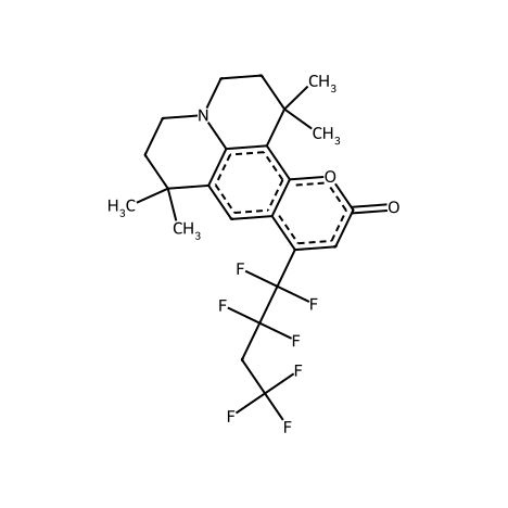 CC1(C)CCN2CCC(C)(C)c3c2c1cc1c(C(F)(F)C(F)(F)CC(F)(F)F)cc(=O)oc31